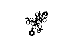 CCC(=O)OC=C1S[C@@H]2C(N(C(C)=O)c3ccco3)C(=O)N2CC1(COC(C)=O)C(=O)OCc1ccccc1